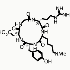 CNCCCCC1NC(=O)[C@@H](CCCNC(=N)N)NC(=O)CNC(=O)[C@@H](CC(=O)O)NC(=O)[C@H](Cc2ccc(O)cc2)NC1=O